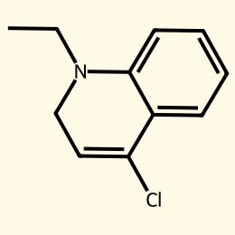 CCN1CC=C(Cl)c2ccccc21